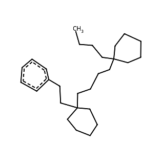 CCCCC1(CCCCC2(CCc3ccccc3)CCCCC2)CCCCC1